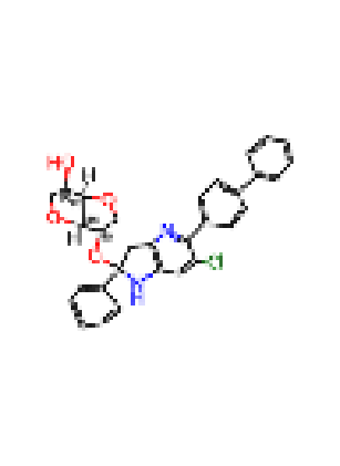 O[C@@H]1CO[C@H]2[C@@H]1OC[C@H]2OC1(c2ccccc2)Cc2nc(-c3ccc(-c4ccccc4)cc3)c(Cl)cc2N1